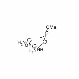 COCCOCCNc1cccc(C#CC(=N)c2ccc(Sc3ccccc3C(N)=O)cc2N)c1